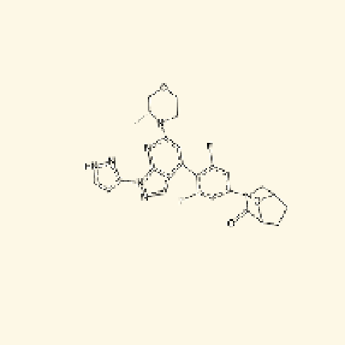 C[C@@H]1COCCN1c1cc(-c2c(F)cc(N3CC4CCC(O4)C3=O)cc2F)c2cnn(-c3cc[nH]n3)c2n1